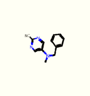 CN(Cc1ccccc1)c1cnc(C#N)nc1